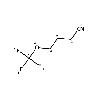 N#CCCCOC(F)(F)F